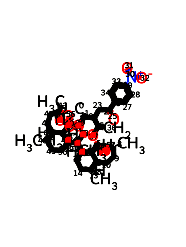 C=C(C[C@H]1O[C@@H]2O[C@]3(C)CC[C@H]4[C@H](C)CC[C@@H]([C@H]1C)[C@@]24OO3)C(CC(=O)c1ccc([N+](=O)[O-])cc1)C(=C)C[C@H]1O[C@@H]2O[C@]3(C)CC[C@H]4[C@H](C)CC[C@@H]([C@H]1C)[C@@]24OO3